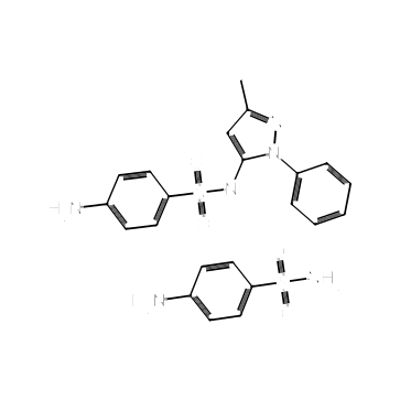 Cc1cc(NS(=O)(=O)c2ccc(N)cc2)n(-c2ccccc2)n1.Nc1ccc(S(N)(=O)=O)cc1